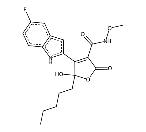 CCCCCC1(O)OC(=O)C(C(=O)NOC)=C1c1cc2cc(F)ccc2[nH]1